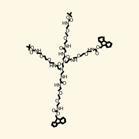 CC(C)(C)OC(=O)NCCOCCOCCNC(=O)CNCCN(CCN(CCNCC(=O)NCCOCCOCCNC(=O)OCC1c2ccccc2-c2ccccc21)CC(=O)NCCOCCOCCNC(=O)OC(C)(C)C)CC(=O)NCCOCCOCCNC(=O)OCC1c2ccccc2-c2ccccc21